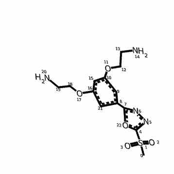 CS(=O)(=O)c1nnc(-c2cc(OCCN)cc(OCCN)c2)o1